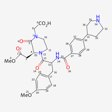 COC(=O)C[C@H]1C(=O)N(CC(=O)O)CCN1C(=O)C(Cc1ccc(OC)cc1)NC(=O)c1ccc(C2CCNCC2)cc1